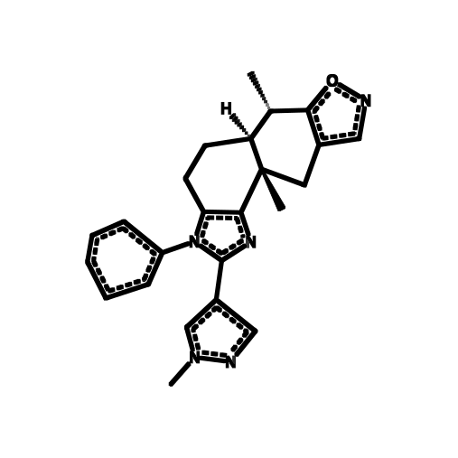 C[C@@H]1c2oncc2C[C@]2(C)c3nc(-c4cnn(C)c4)n(-c4ccccc4)c3CC[C@@H]12